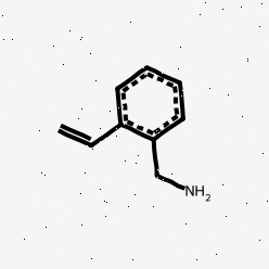 C=Cc1ccccc1CN